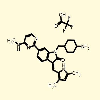 CNc1ccnc(-c2ccc3c(c2)N(CC2CCC(N)CC2)C(=O)/C3=C\c2[nH]c(C)cc2C)n1.O=C(O)C(F)(F)F